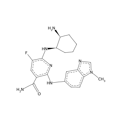 Cn1cnc2cc(Nc3nc(N[C@@H]4CCCC[C@@H]4N)c(F)cc3C(N)=O)ccc21